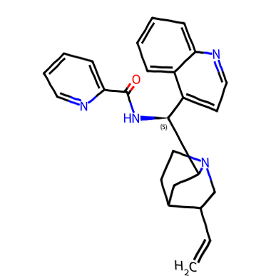 C=CC1CN2CCC1CC2[C@@H](NC(=O)c1ccccn1)c1ccnc2ccccc12